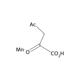 CC(=O)CC(=O)C(=O)O.[Mn]